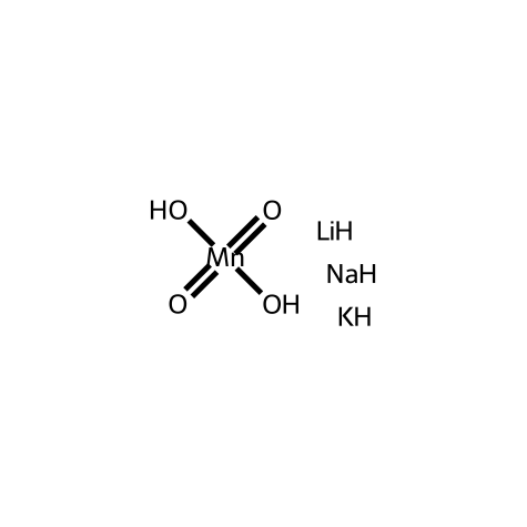 [KH].[LiH].[NaH].[O]=[Mn](=[O])([OH])[OH]